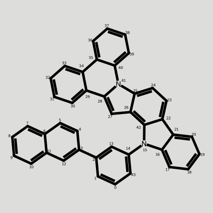 c1cc(-c2ccc3ccccc3c2)cc(-n2c3ccccc3c3ccc4c(cc5c6ccccc6c6ccccc6n54)c32)c1